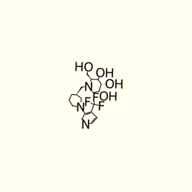 OC[C@H]1[C@@H](O)[C@H](O)[C@@H](O)CN1C[C@@H]1CCCN(c2cnccc2C(F)(F)F)C1